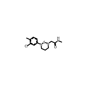 CNC(=O)CN1CCCN(c2ccc(C)c(Cl)c2)S1